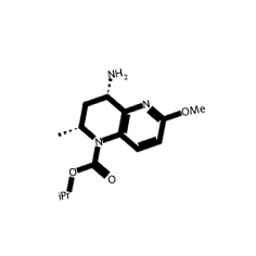 COc1ccc2c(n1)[C@@H](N)C[C@@H](C)N2C(=O)OC(C)C